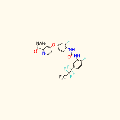 CNC(=O)c1cc(Oc2ccc(NC(=O)Nc3cc(C(F)(F)C(F)(F)C(F)(F)F)ccc3F)c(F)c2)ccn1